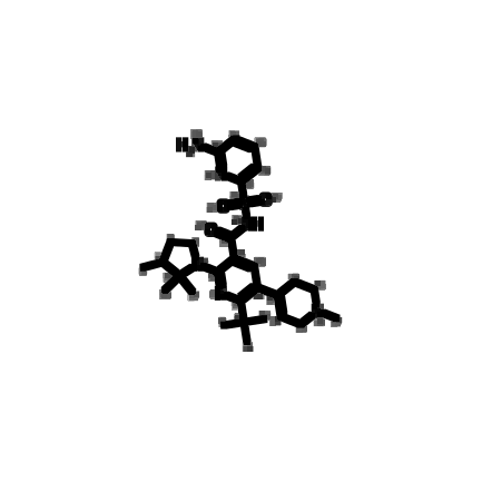 CC1CCN(c2nc(C(C)(C)C)c(C3=CCN(C)CC3)cc2C(=O)NS(=O)(=O)c2cccc(N)n2)C1(C)C